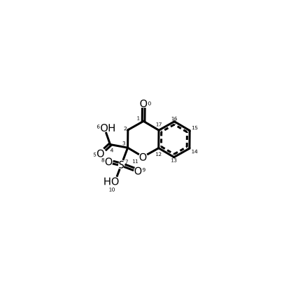 O=C1CC(C(=O)O)(S(=O)(=O)O)Oc2ccccc21